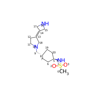 CS(=O)(=O)N[C@H]1CC[C@H](CN2CCC(=C3CNC3)C2)CC1